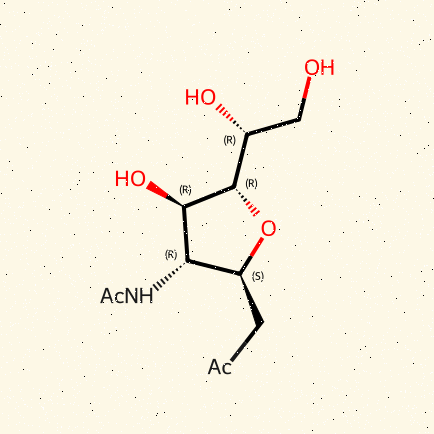 CC(=O)C[C@@H]1O[C@@H]([C@H](O)CO)[C@H](O)[C@H]1NC(C)=O